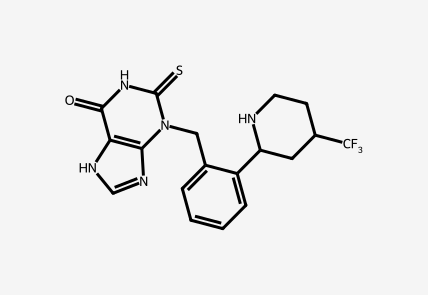 O=c1[nH]c(=S)n(Cc2ccccc2C2CC(C(F)(F)F)CCN2)c2nc[nH]c12